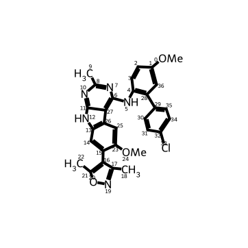 COc1ccc(Nc2nc(C)nc3[nH]c4cc(-c5c(C)noc5C)c(OC)cc4c23)c(-c2ccc(Cl)cc2)c1